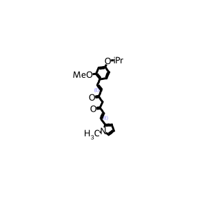 COc1cc(OC(C)C)ccc1/C=C/C(=O)CC(=O)/C=C/c1cccn1C